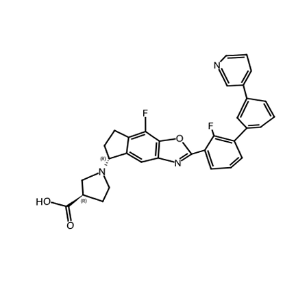 O=C(O)[C@@H]1CCN([C@@H]2CCc3c2cc2nc(-c4cccc(-c5cccc(-c6cccnc6)c5)c4F)oc2c3F)C1